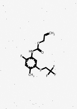 C=CCOC(=O)Nc1cc(SCC(F)(F)F)c(C)cc1F